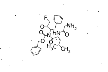 CC(C)C[C@H](NC(=O)CN)C(=O)N(C(=O)OCc1ccccc1)C(Cc1ccccc1)C(=O)CF